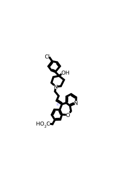 O=C(O)Cc1ccc2c(c1)OCc1ncccc1/C2=C\CCN1CCC(O)(c2ccc(Cl)cc2)CC1